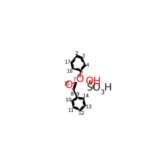 O=S(=O)(O)O.c1ccc(OC2=C(c3ccccc3)O2)cc1